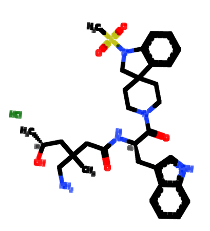 C[C@@H](O)CC(C)(CN)CC(=O)N[C@H](Cc1c[nH]c2ccccc12)C(=O)N1CCC2(CC1)CN(S(C)(=O)=O)c1ccccc12.Cl